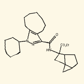 CCOC(=O)C1(NC(=O)c2nn(C3CCCCC3)c3c2CCCCCC3)CC23CC2CCC13